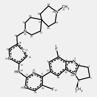 C[C@@H]1CCc2nc3c(F)cc(-c4nc(Nc5ccc(CN6CCC7(CCN(C)CC7)CC6)cn5)ncc4F)cc3n21